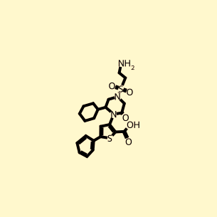 NCCS(=O)(=O)N1CC(=O)N(c2cc(-c3ccccc3)sc2C(=O)O)C(C2CCCCC2)C1